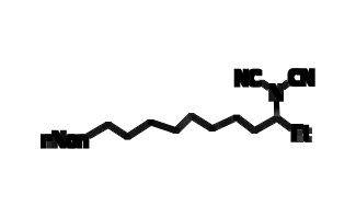 CCCCCCCCCCCCCCCCCC(CC)N(C#N)C#N